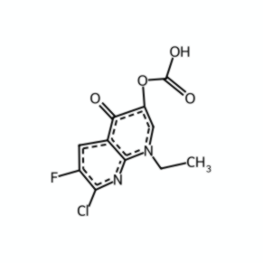 CCn1cc(OC(=O)O)c(=O)c2cc(F)c(Cl)nc21